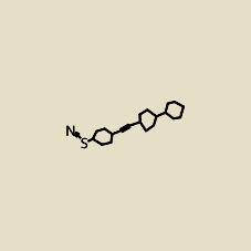 N#CSC1CCC(C#CC2CCC(C3CCCCC3)CC2)CC1